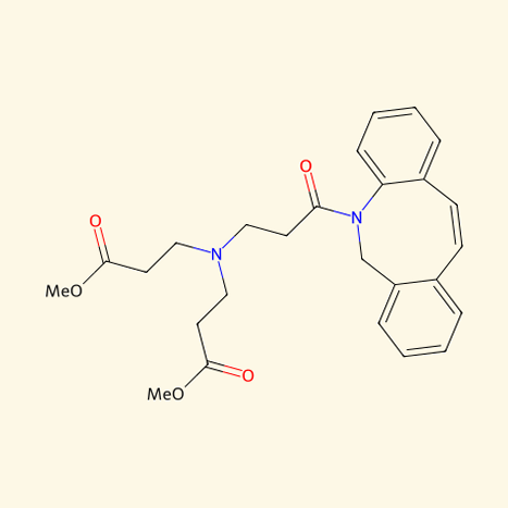 COC(=O)CCN(CCC(=O)OC)CCC(=O)N1Cc2ccccc2/C=C\c2ccccc21